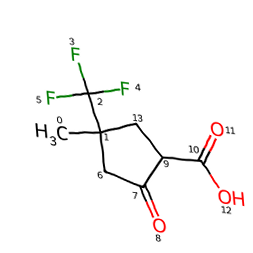 CC1(C(F)(F)F)CC(=O)C(C(=O)O)C1